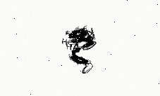 O=C(NCCc1ccc(Cl)cc1)c1cnc2ccc(F)cc2c1O